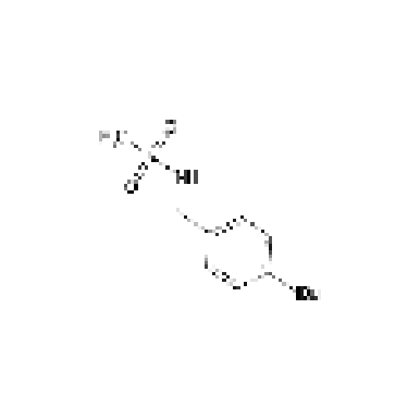 CCC(C)c1ccc(CNS(=O)(=O)C(F)(F)F)cc1